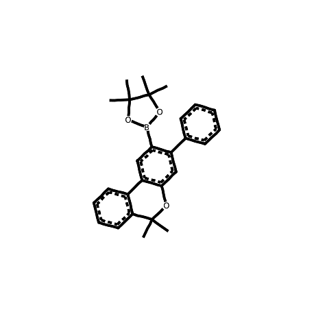 CC1(C)Oc2cc(-c3ccccc3)c(B3OC(C)(C)C(C)(C)O3)cc2-c2ccccc21